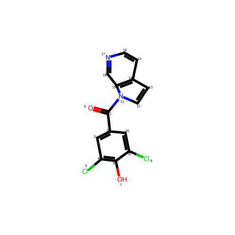 O=C(c1cc(Cl)c(O)c(Cl)c1)n1ccc2ccncc21